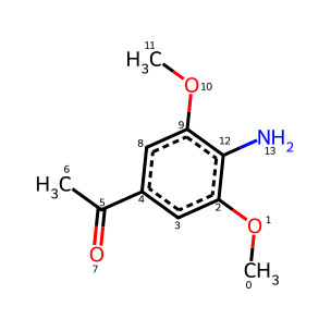 COc1cc(C(C)=O)cc(OC)c1N